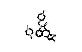 CN1CCNCC1.Cc1cc(C)c(C=C2C(=O)N(CN3CCN(C)CC3)c3ccccc32)[nH]1